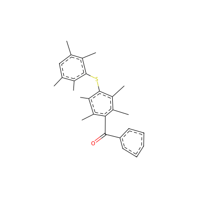 Cc1cc(C)c(C)c(Sc2c(C)c(C)c(C(=O)c3ccccc3)c(C)c2C)c1C